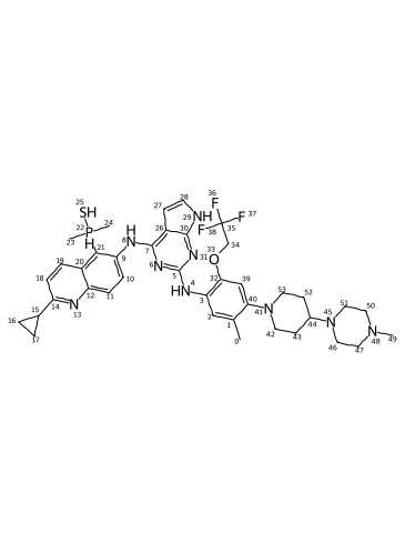 Cc1cc(Nc2nc(Nc3ccc4nc(C5CC5)ccc4c3[PH](C)(C)S)c3cc[nH]c3n2)c(OCC(F)(F)F)cc1N1CCC(N2CCN(C)CC2)CC1